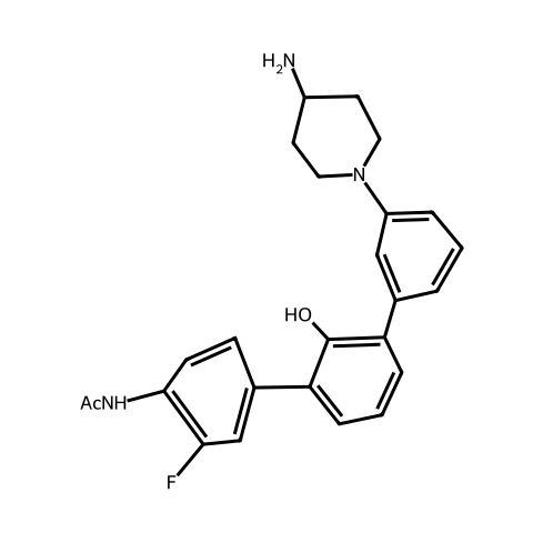 CC(=O)Nc1ccc(-c2cccc(-c3cccc(N4CCC(N)CC4)c3)c2O)cc1F